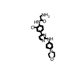 NCC(=O)Nc1ccc(-c2ccnc(Nc3ccc(N4CCOCC4)cc3)n2)cc1Cl